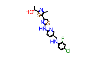 Cc1nc(C(C)O)sc1-c1csc(Nc2ccc(CNc3ccc(Cl)cc3F)cn2)n1